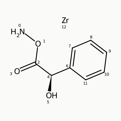 NOC(=O)[C@H](O)c1ccccc1.[Zr]